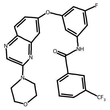 O=C(Nc1cc(F)cc(Oc2ccc3ncc(N4CCOCC4)nc3c2)c1)c1cccc(C(F)(F)F)c1